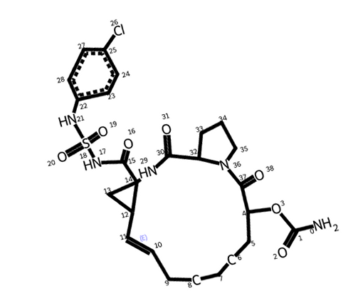 NC(=O)OC1CCCCC/C=C/C2CC2(C(=O)NS(=O)(=O)Nc2ccc(Cl)cc2)NC(=O)C2CCCN2C1=O